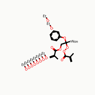 C=C(C)C(=O)OCC(CCCCCCCCC)(OOC(=O)C(=C)C)Oc1ccccc1.[CH2]C[O].[CH2]C[O].[CH2]C[O].[CH2]C[O].[CH2]C[O].[CH2]C[O].[CH2]C[O].[CH2]C[O].[CH2]C[O].[CH2]C[O]